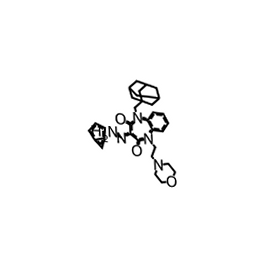 NN=c1c(=O)n(CCN2CCOCC2)c2ccccc2n(CC23CC4CC(CC(C4)C2)C3)c1=O.c1cc2cc-2c1